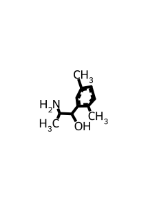 Cc1ccc(C)c(C(O)C(C)N)c1